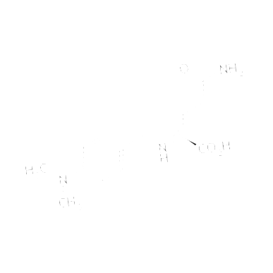 CN(C)c1ccc(CN[C@@H](CCC(N)=O)C(=O)O)cc1